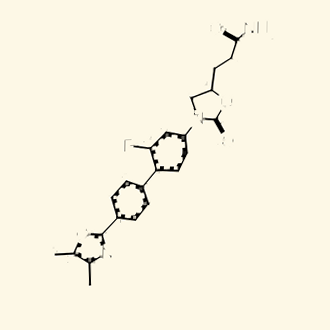 Cc1nc(-c2ccc(-c3ccc(N4CC(CCC(N)=O)OC4=O)cc3F)cc2)oc1C